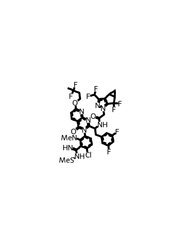 CNc1c(-n2c(C(Cc3cc(F)cc(F)c3)NC(=O)Cn3nc(C(F)F)c4c3C(F)(F)C3CC43)nc3nc(OCCC(C)(F)F)ccc3c2=O)ccc(Cl)c1C(=N)NSC